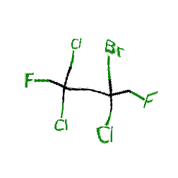 FC(Cl)(Cl)C(F)(Cl)Br